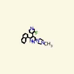 CN1CCN(c2cc(-c3ccncc3F)c(-c3cccc4ccccc34)nn2)CC1